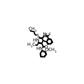 CCCCSC1=C(C#N)C(c2ccccc2C(F)(F)F)C(C(=O)Nc2ccccc2OC)=C(CC)N1